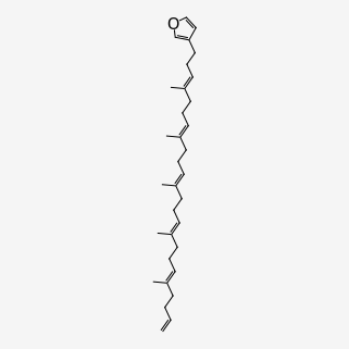 C=CCC/C(C)=C/CC/C(C)=C/CC/C(C)=C/CC/C(C)=C/CC/C(C)=C/CCc1ccoc1